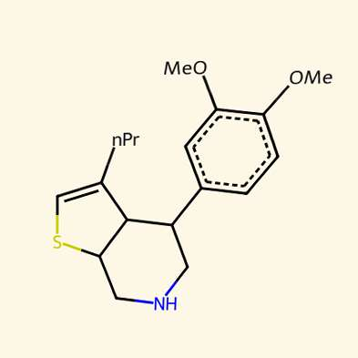 CCCC1=CSC2CNCC(c3ccc(OC)c(OC)c3)C12